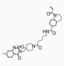 C=CC(=O)N1CCCc2cc(C(=O)NCCCCC(=O)N3CCC(O)(Cn4cnc5cc(C)ccc5c4=O)CC3)ccc21